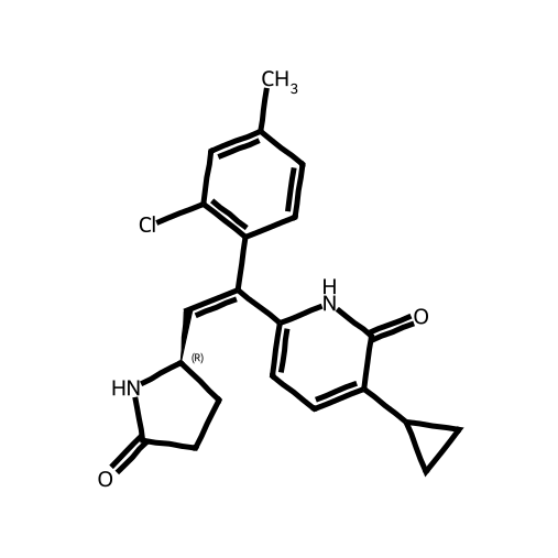 Cc1ccc(C(=C[C@H]2CCC(=O)N2)c2ccc(C3CC3)c(=O)[nH]2)c(Cl)c1